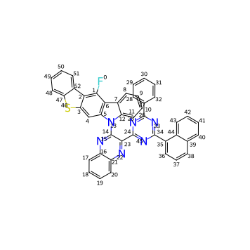 Fc1c2c(cc3c1c1ccccc1n3-c1nc3ccccc3nc1-c1nc(-c3ccccc3)nc(-c3cccc4ccccc34)n1)sc1ccccc12